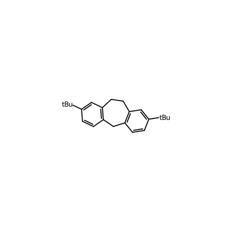 CC(C)(C)c1ccc2c(c1)CCc1cc(C(C)(C)C)ccc1C2